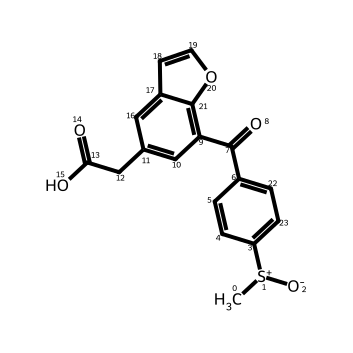 C[S+]([O-])c1ccc(C(=O)c2cc(CC(=O)O)cc3ccoc23)cc1